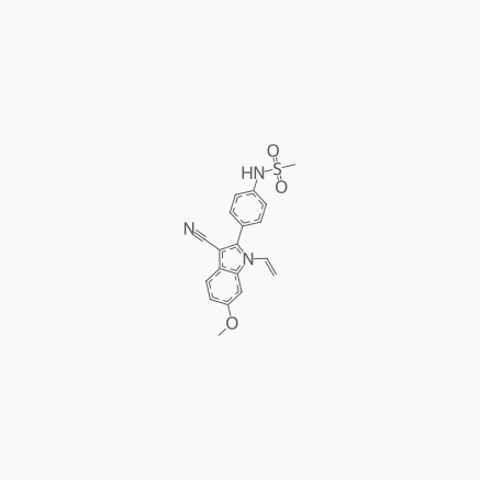 C=Cn1c(-c2ccc(NS(C)(=O)=O)cc2)c(C#N)c2ccc(OC)cc21